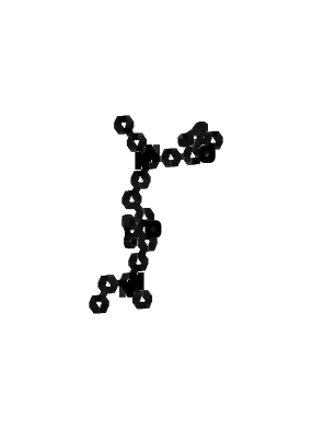 c1ccc(-c2ccc(-c3nc(-c4ccc(-c5cccc(-c6ccc7c(c6)C6(c8cc(-c9ccc(-c%10cc(-c%11cccc(-c%12ccccc%12)c%11)nc(-c%11ccccc%11)n%10)cc9)ccc8O7)c7ccccc7-c7ccccc76)c5)cc4)cc(-c4ccc(-c5ccc6c(c5)C5(c7ccccc7O6)c6ccccc6-c6ccccc65)cc4)n3)cc2)cc1